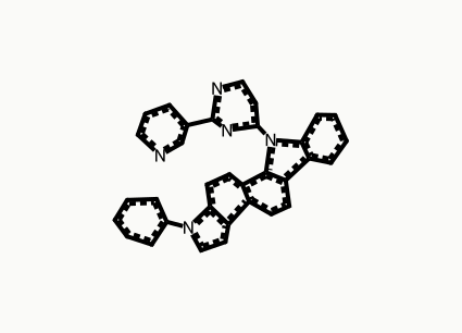 c1ccc(-n2ccc3c4ccc5c6ccccc6n(-c6ccnc(-c7cccnc7)n6)c5c4ccc32)cc1